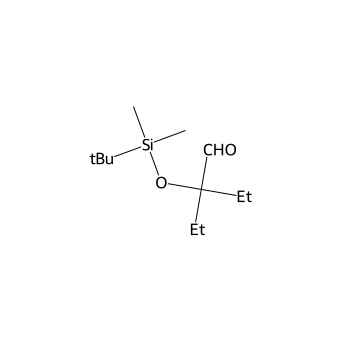 CCC(C=O)(CC)O[Si](C)(C)C(C)(C)C